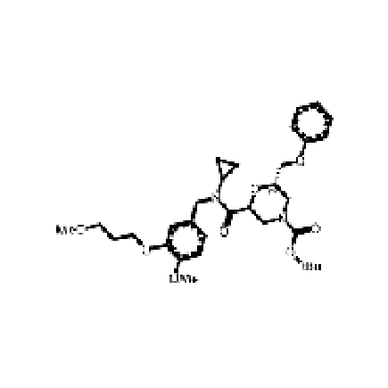 COCCCOc1cc(CN(C(=O)C2CN(C(=O)OC(C)(C)C)C[C@@H](COc3ccccc3)O2)C2CC2)ccc1OC